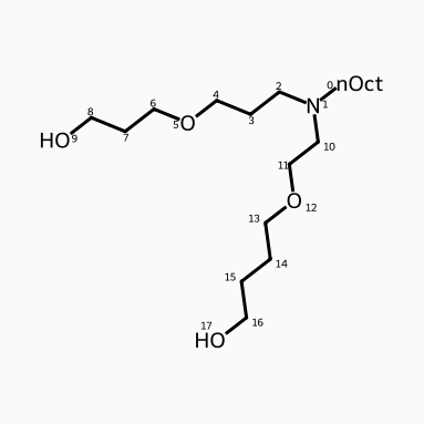 CCCCCCCCN(CCCOCCCO)CCOCCCCO